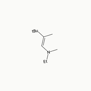 CCN(C)/C=C(\C)C(C)(C)C